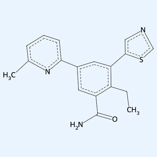 CCc1c(C(N)=O)cc(-c2cccc(C)n2)cc1-c1cncs1